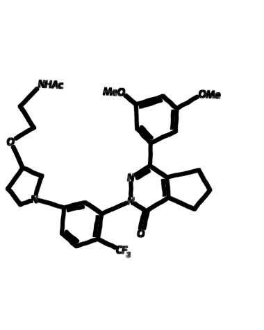 COc1cc(OC)cc(-c2nn(-c3cc(N4CCC(OCCNC(C)=O)C4)ccc3C(F)(F)F)c(=O)c3c2CCC3)c1